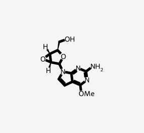 COc1nc(N)nc2c1ccn2C1O[C@H](CO)[C@H]2O[C@@H]12